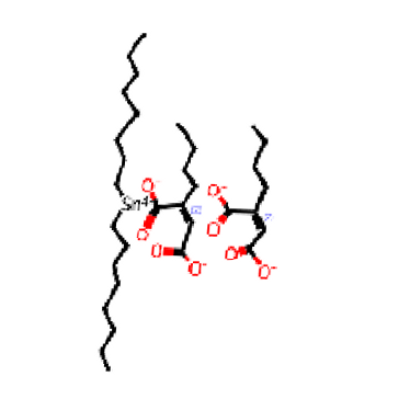 CCCC/C(=C/C(=O)[O-])C(=O)[O-].CCCC/C(=C/C(=O)[O-])C(=O)[O-].CCCCCCC[CH2][Sn+4][CH2]CCCCCCC